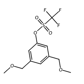 COCc1cc(COC)cc(OS(=O)(=O)C(F)(F)F)c1